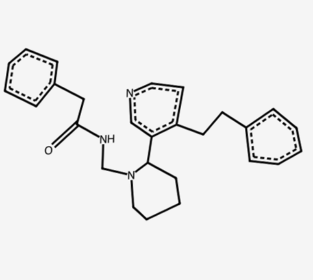 O=C(Cc1ccccc1)NCN1CCCCC1c1cnccc1CCc1ccccc1